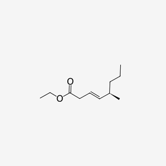 CCC[C@@H](C)/C=C/CC(=O)OCC